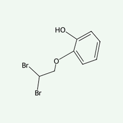 Oc1ccccc1OCC(Br)Br